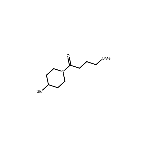 COCCCC(=O)N1CCC(C(C)(C)C)CC1